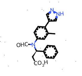 Cc1cc(N(C=O)[C@H](CC(=O)O)c2ccccc2)ccc1-c1cn[nH]c1